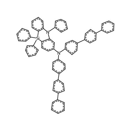 c1ccc(-c2ccc(-c3ccc(N(c4ccc(-c5ccc(-c6ccccc6)cc5)cc4)c4ccc5c(c4)N(c4ccccc4)c4ccccc4[Si]5(c4ccccc4)c4ccccc4)cc3)cc2)cc1